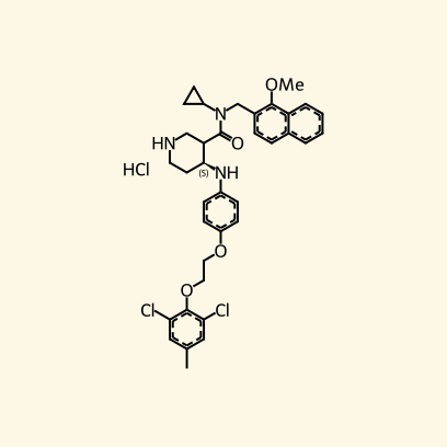 COc1c(CN(C(=O)C2CNCC[C@@H]2Nc2ccc(OCCOc3c(Cl)cc(C)cc3Cl)cc2)C2CC2)ccc2ccccc12.Cl